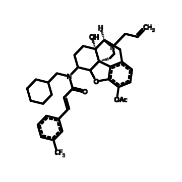 C=CCN1CC[C@]23c4c5ccc(OC(C)=O)c4OC2C(N(CC2CCCCC2)C(=O)/C=C/c2cccc(C(F)(F)F)c2)CC[C@@]3(O)[C@H]1C5